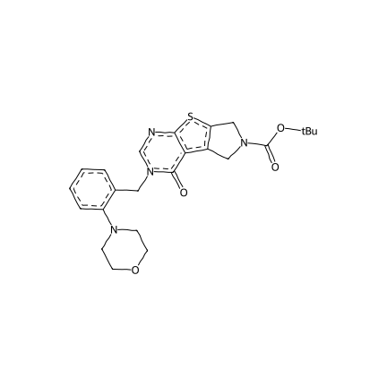 CC(C)(C)OC(=O)N1Cc2sc3ncn(Cc4ccccc4N4CCOCC4)c(=O)c3c2C1